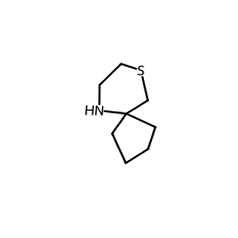 C1CCC2(C1)CSCCN2